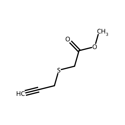 C#CCSCC(=O)OC